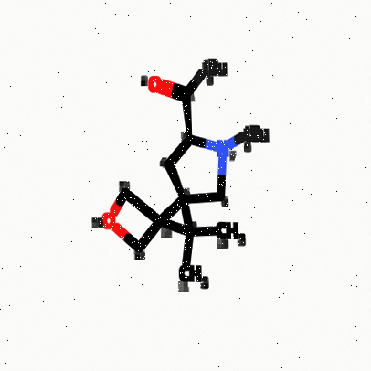 CC(C)(C)C(=O)[C@@H]1C[C@@]2(CN1C(C)(C)C)C(C)(C)C21COC1